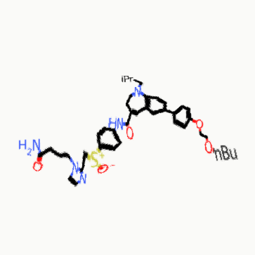 CCCCOCCOc1ccc(-c2ccc3c(c2)C=C(C(=O)Nc2ccc([S+]([O-])Cc4nccn4CCCC(N)=O)cc2)CCN3CC(C)C)cc1